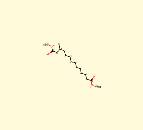 CCCCOC(=O)CCCCCCCCCCC(C)CC(=O)OCCCC